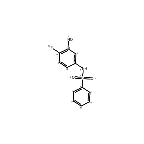 O=Nc1cc(NS(=O)(=O)c2ccccc2)ccc1F